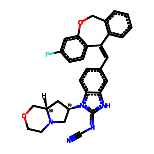 N#CN=c1[nH]c2cc(C=C3c4ccccc4COc4cc(F)ccc43)ccc2n1[C@@H]1C[C@H]2COCCN2C1